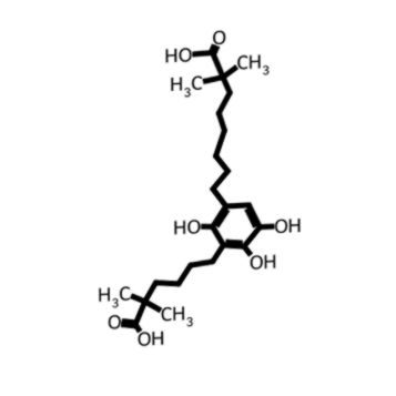 CC(C)(CCCCCCc1cc(O)c(O)c(CCCCC(C)(C)C(=O)O)c1O)C(=O)O